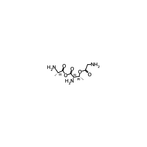 C[C@H](N)C(=O)OC(=O)[C@@H](N)[C@@H](C)OC(=O)CN